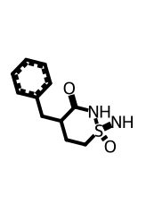 N=S1(=O)CCC(Cc2ccccc2)C(=O)N1